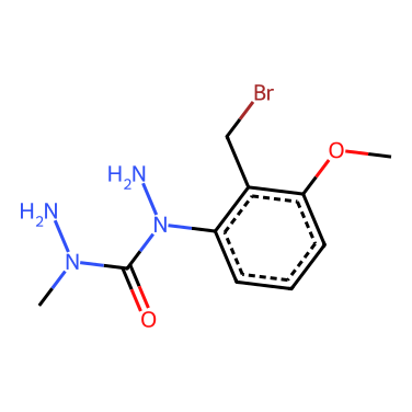 COc1cccc(N(N)C(=O)N(C)N)c1CBr